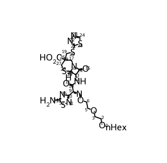 CCCCCCOCCOCCON=C(C(=O)NC1C(=O)N2CC(CSc3nncs3)(C(=O)O)CS[C@H]12)c1nsc(N)n1